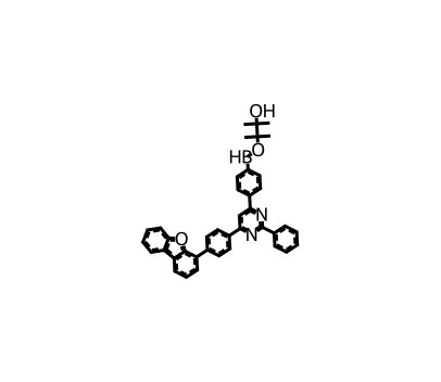 CC(C)(O)C(C)(C)OBc1ccc(-c2cc(-c3ccc(-c4cccc5c4oc4ccccc45)cc3)nc(-c3ccccc3)n2)cc1